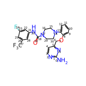 Nc1nccc(COc2ccccc2N2CCN(C(=O)Nc3cc(F)cc(C(F)(F)F)c3)CC2)n1